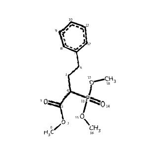 COC(=O)C(CCc1ccccc1)P(=O)(OC)OC